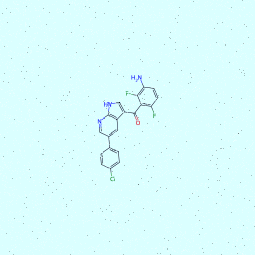 Nc1ccc(F)c(C(=O)c2c[nH]c3ncc(-c4ccc(Cl)cc4)cc23)c1F